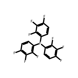 Fc1ccc(P(c2ccc(F)c(F)c2F)c2ccc(F)c(F)c2F)c(F)c1F